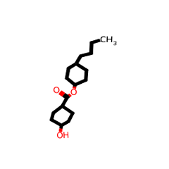 CCCCC1CCC(OC(=O)C2CCC(O)CC2)CC1